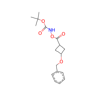 CC(C)(C)OC(=O)NOC(=O)C1CC(OCc2ccccc2)C1